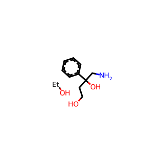 CCO.NCC(O)(CCO)c1ccccc1